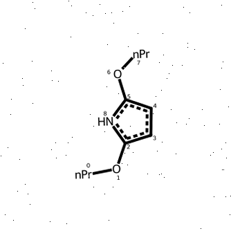 CCCOc1ccc(OCCC)[nH]1